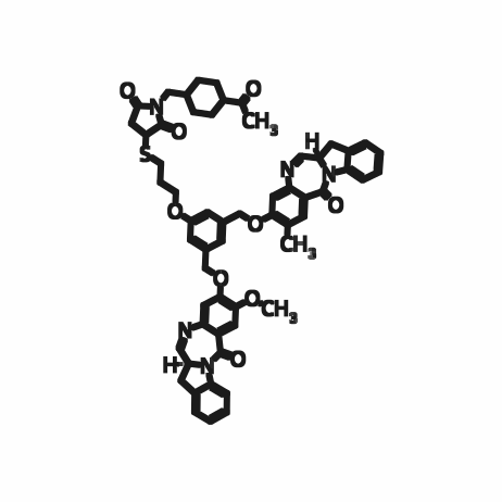 COc1cc2c(cc1OCc1cc(COc3cc4c(cc3C)C(=O)N3c5ccccc5C[C@H]3C=N4)cc(OCCCSC3CC(=O)N(CC4CCC(C(C)=O)CC4)C3=O)c1)N=C[C@@H]1Cc3ccccc3N1C2=O